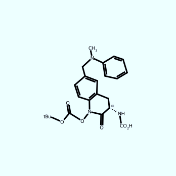 CN(Cc1ccc2c(c1)C[C@H](NC(=O)O)C(=O)N2OC(=O)OC(C)(C)C)c1ccccc1